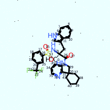 C[C@@](Cc1c[nH]c2ccccc12)(NS(=O)(=O)c1cccc(C(F)(F)F)c1)C(=O)NCC1(c2ccccn2)CCCCC1